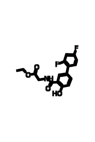 CCOC(=O)CNC(=O)c1cc(-c2ccc(F)cc2F)ccc1O